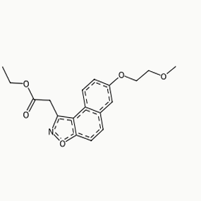 CCOC(=O)Cc1noc2ccc3cc(OCCOC)ccc3c12